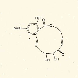 COc1cc(O)c2c(c1)/C=C/CC(O)C(O)C(=O)/C=C\CCOC2=O